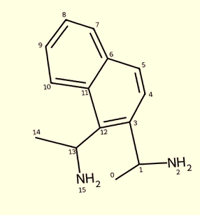 CC(N)c1ccc2ccccc2c1C(C)N